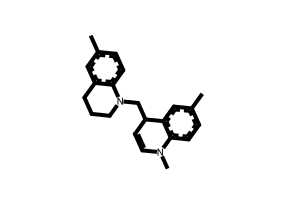 Cc1ccc2c(c1)CCCN2CC1C=CN(C)c2ccc(C)cc21